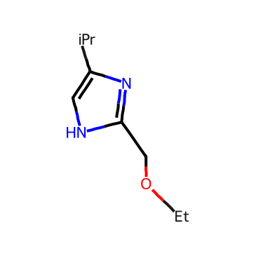 CCOCc1nc(C(C)C)c[nH]1